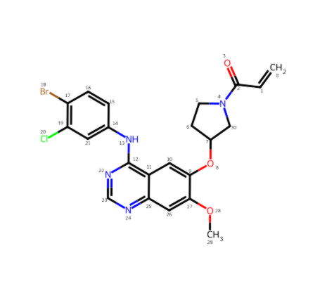 C=CC(=O)N1CCC(Oc2cc3c(Nc4ccc(Br)c(Cl)c4)ncnc3cc2OC)C1